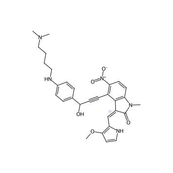 COc1cc[nH]c1/C=C1\C(=O)N(C)c2ccc([N+](=O)[O-])c(C#CC(O)c3ccc(NCCCCN(C)C)cc3)c21